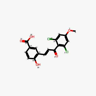 COc1cc(Cl)c(C(=O)C=Cc2cc(C(=O)O)ccc2O)c(Cl)c1